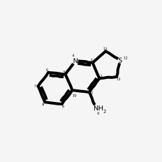 Nc1c2c(nc3ccccc13)CSC2